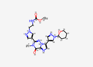 CC(C)n1c(-c2cnn(CCNC(=O)OC(C)(C)C)c2)nn2c(-c3cnn(C4CCCCO4)c3)cnc2c1=O